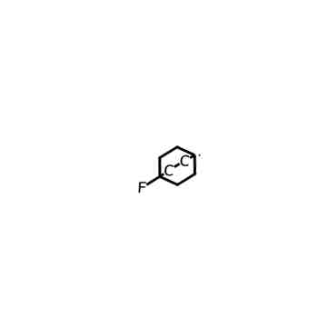 FC12CC[C](CC1)CC2